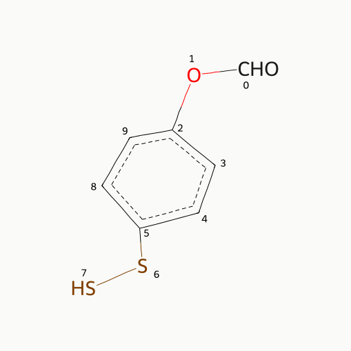 O=COc1ccc(SS)cc1